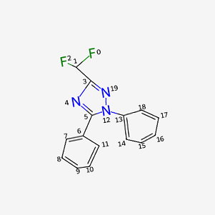 FC(F)c1nc(-c2ccccc2)n(-c2ccccc2)n1